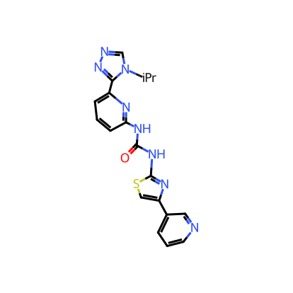 CC(C)n1cnnc1-c1cccc(NC(=O)Nc2nc(-c3cccnc3)cs2)n1